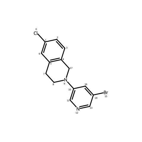 Clc1ccc2c(c1)CCN(c1cncc(Br)c1)C2